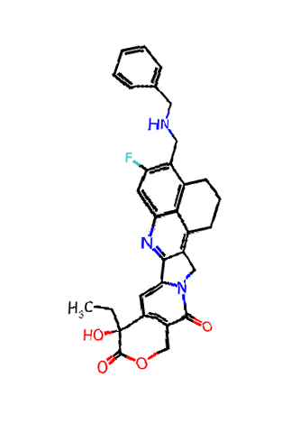 CC[C@@]1(O)C(=O)OCc2c1cc1n(c2=O)Cc2c-1nc1cc(F)c(CNCc3ccccc3)c3c1c2CCC3